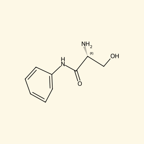 N[C@H](CO)C(=O)Nc1ccccc1